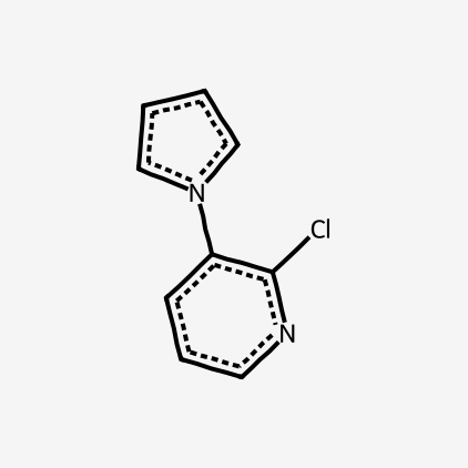 Clc1ncccc1-n1cccc1